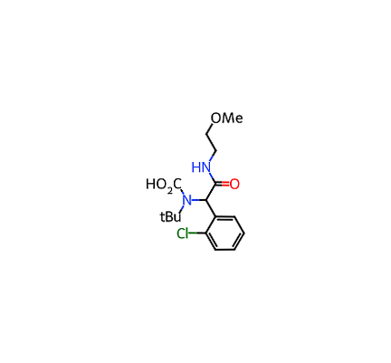 COCCNC(=O)C(c1ccccc1Cl)N(C(=O)O)C(C)(C)C